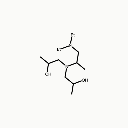 CCN(CC)CC(C)N(CC(C)O)CC(C)O